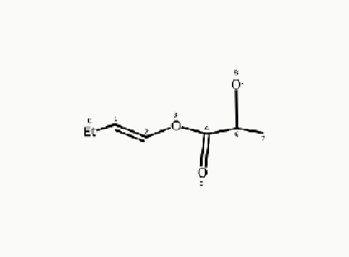 CC/C=C/OC(=O)C(C)[O]